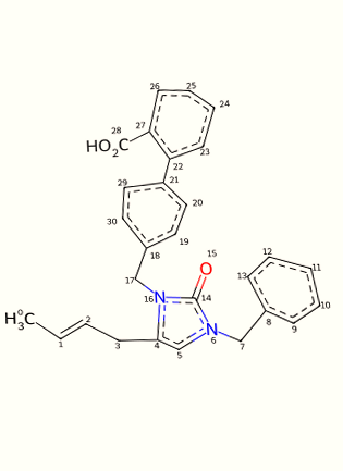 C/C=C/Cc1cn(Cc2ccccc2)c(=O)n1Cc1ccc(-c2ccccc2C(=O)O)cc1